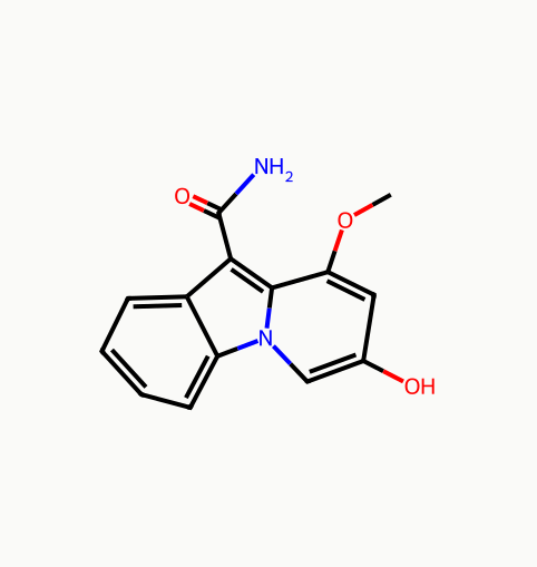 COc1cc(O)cn2c1c(C(N)=O)c1ccccc12